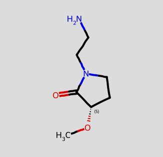 CO[C@H]1CCN(CCN)C1=O